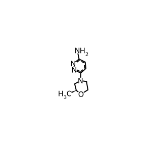 C[C@H]1CN(c2ccc(N)nn2)CCO1